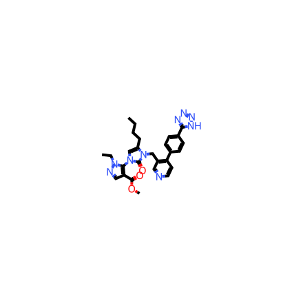 CCCCc1cn(-c2c(C(=O)OC)cnn2CC)c(=O)n1Cc1cnccc1-c1ccc(-c2nnn[nH]2)cc1